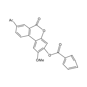 COc1cc2c(cc1OC(=O)c1ccccc1)oc(=O)c1cc(C(C)=O)ccc12